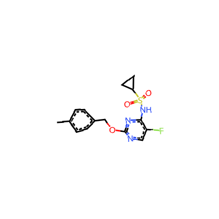 Cc1ccc(COc2ncc(F)c(NS(=O)(=O)C3CC3)n2)cc1